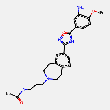 CCC(=O)NCCCN1CCc2ccc(-c3noc(-c4ccc(OC(C)C)c(N)c4)n3)cc2CC1